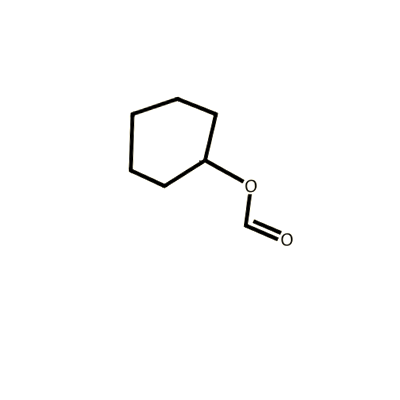 O=CO[C]1CCCCC1